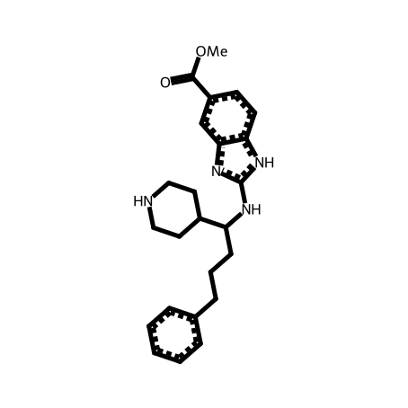 COC(=O)c1ccc2[nH]c(NC(CCCc3ccccc3)C3CCNCC3)nc2c1